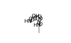 CCCCCCCCNC(=O)O[C@H](C)[C@H]1OC(=O)[C@@H](OC)C[C@H]2C=C[C@]3(C)C[C@]2(O[C@H]3[C@H](OC(=O)c2ccc[nH]2)[C@H](C)[C@H](C)O)/C(C)=C/[C@H]1C